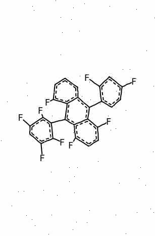 Fc1ccc(-c2c3cccc(F)c3c(-c3c(F)c(F)cc(F)c3F)c3c(F)ccc(F)c23)c(F)c1